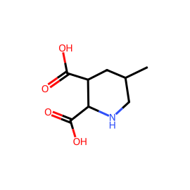 CC1CNC(C(=O)O)C(C(=O)O)C1